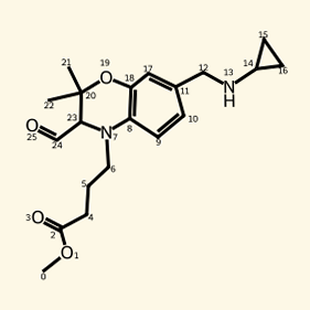 COC(=O)CCCN1c2ccc(CNC3CC3)cc2OC(C)(C)C1C=O